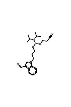 CC(C)N(C(C)C)P(OCCC#N)OCCCn1cc(C=O)c2ccccc21